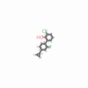 Oc1c(Cl)cccc1-c1ccc(C2CC2)cc1F